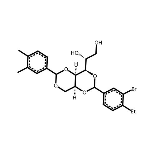 CCc1ccc(C2O[C@H]([C@H](O)CO)[C@@H]3OC(c4ccc(C)c(C)c4)OC[C@@H]3O2)cc1Br